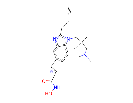 C#CCCc1nc2cc(/C=C/C(=O)NO)ccc2n1CC(C)(C)CN(C)C